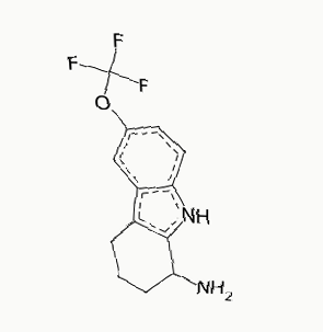 NC1CCCc2c1[nH]c1ccc(OC(F)(F)F)cc21